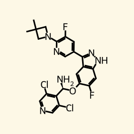 CC1(C)CN(c2ncc(-c3n[nH]c4cc(F)c(O[C@H](N)c5c(Cl)cncc5Cl)cc34)cc2F)C1